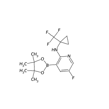 CC1(C)OB(c2cc(F)cnc2NC2(C(F)(F)F)CC2)OC1(C)C